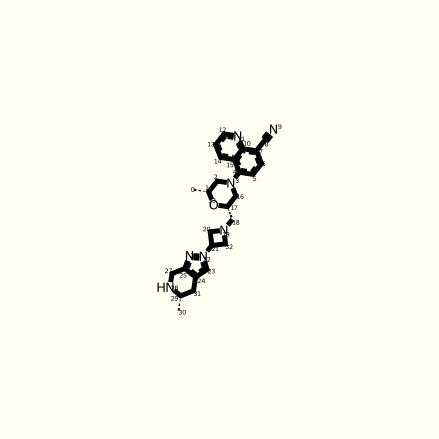 C[C@@H]1CN(c2ccc(C#N)c3ncccc23)C[C@H](CN2CC(n3cc4c(n3)CN[C@@H](C)C4)C2)O1